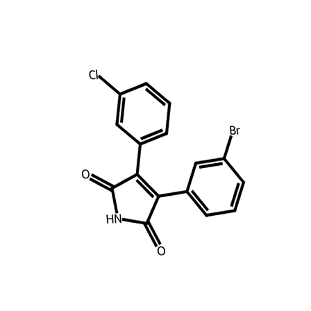 O=C1NC(=O)C(c2cccc(Br)c2)=C1c1cccc(Cl)c1